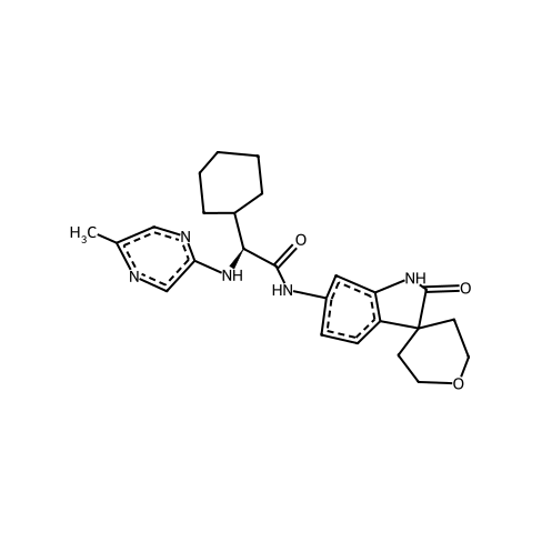 Cc1cnc(N[C@H](C(=O)Nc2ccc3c(c2)NC(=O)C32CCOCC2)C2CCCCC2)cn1